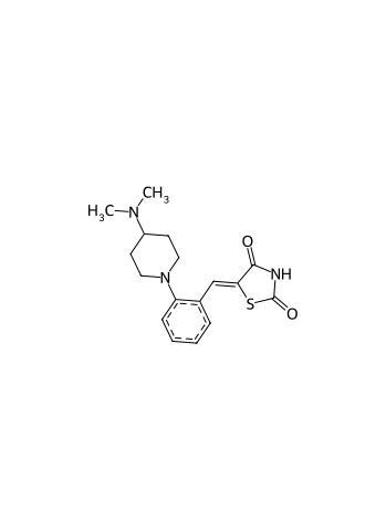 CN(C)C1CCN(c2ccccc2/C=C2\SC(=O)NC2=O)CC1